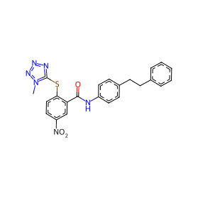 Cn1nnnc1Sc1ccc([N+](=O)[O-])cc1C(=O)Nc1ccc(CCc2ccccc2)cc1